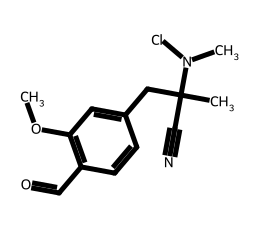 COc1cc(CC(C)(C#N)N(C)Cl)ccc1C=O